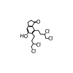 O=C1CCc2cc(O)c(CCC(Cl)CCl)c(CCC(Cl)CCl)c21